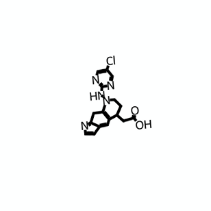 O=C(O)CC1CCN(Nc2ncc(Cl)cn2)C2=C1C=C1C=CN=C1C2